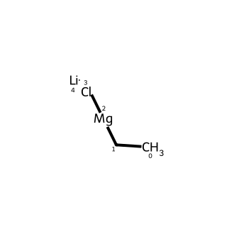 C[CH2][Mg][Cl].[Li]